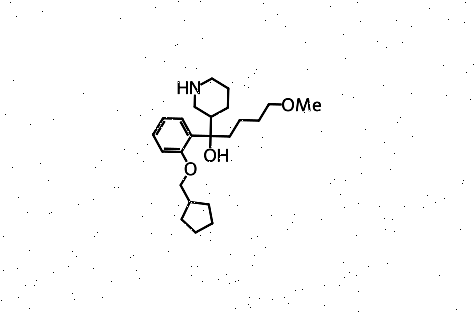 COCCCCC(O)(c1ccccc1OCC1CCCC1)C1CCCNC1